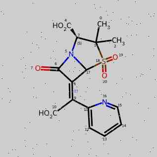 CC1(C)[C@H](C(=O)O)N2C(=O)/C(=C(\C(=O)O)c3ccccn3)C2S1(=O)=O